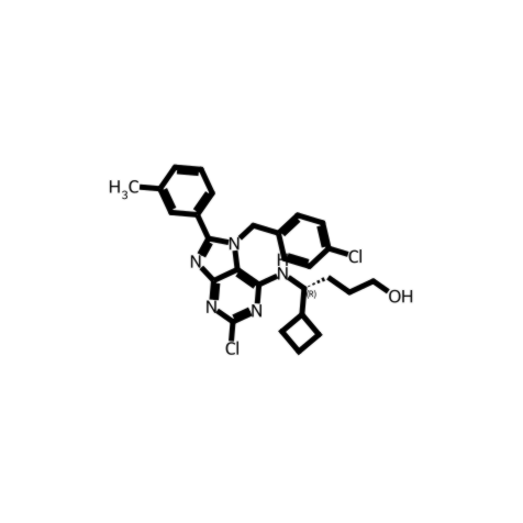 Cc1cccc(-c2nc3nc(Cl)nc(N[C@H](CCCO)C4CCC4)c3n2Cc2ccc(Cl)cc2)c1